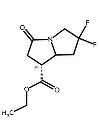 CCOC(=O)[C@@H]1CC(=O)N2CC(F)(F)CC12